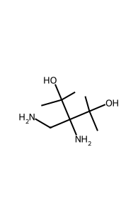 CC(C)(O)C(N)(CN)C(C)(C)O